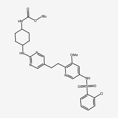 COc1cc(NS(=O)(=O)c2ccccc2Cl)cnc1CCc1cnc(NC2CCC(NC(=O)OC(C)(C)C)CC2)nc1